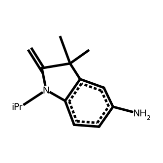 C=C1N(C(C)C)c2ccc(N)cc2C1(C)C